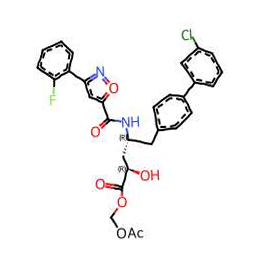 CC(=O)OCOC(=O)[C@H](O)C[C@@H](Cc1ccc(-c2cccc(Cl)c2)cc1)NC(=O)c1cc(-c2ccccc2F)no1